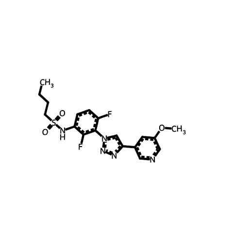 CCCCS(=O)(=O)Nc1ccc(F)c(-n2cc(-c3cncc(OC)c3)nn2)c1F